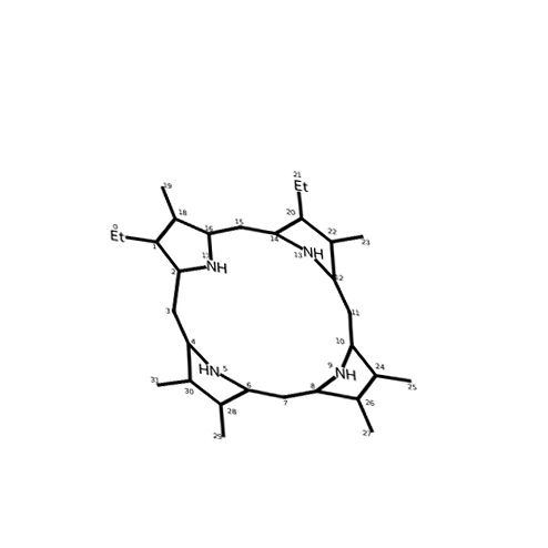 CCC1C2CC3NC(CC4NC(CC5NC(CC(N2)C1C)C(CC)C5C)C(C)C4C)C(C)C3C